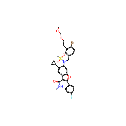 CNC(=O)c1c(-c2ccc(F)cc2)oc2cc(N(Cc3ccc(Br)c(CCOCOC)c3)S(C)(=O)=O)c(C3CC3)cc12